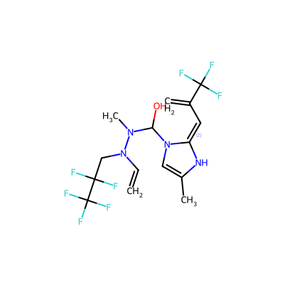 C=CN(CC(F)(F)C(F)(F)F)N(C)C(O)N1C=C(C)N/C1=C/C(=C)C(F)(F)F